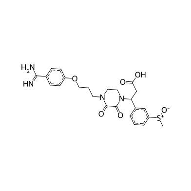 C[S+]([O-])c1cccc(C(CC(=O)O)N2CCN(CCCOc3ccc(C(=N)N)cc3)C(=O)C2=O)c1